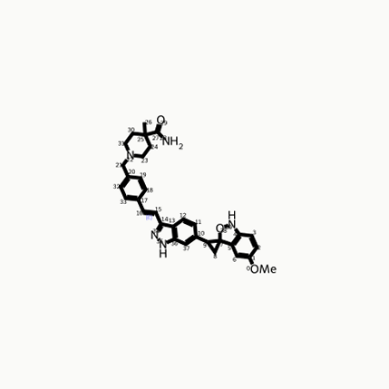 COc1ccc2c(c1)C1(CC1c1ccc3c(/C=C/c4ccc(CN5CCC(C)(C(N)=O)CC5)cc4)n[nH]c3c1)ON2